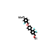 CCOCc1ccc(C2CCC(OCc3ccc(OC)cc3F)CC2)c(F)c1F